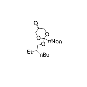 CCCCCCCCCC1(OCC(CC)CCCC)OCC(=O)CO1